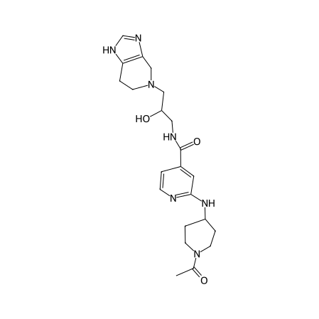 CC(=O)N1CCC(Nc2cc(C(=O)NCC(O)CN3CCc4[nH]cnc4C3)ccn2)CC1